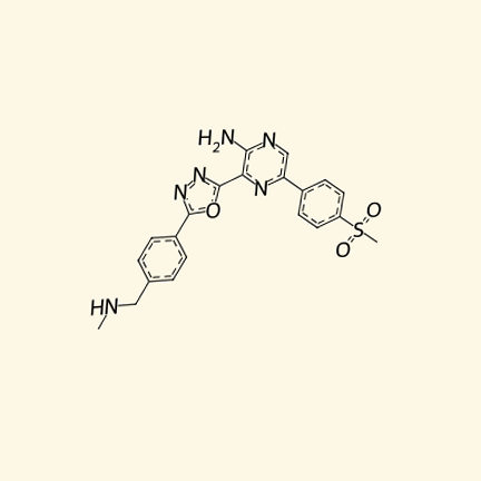 CNCc1ccc(-c2nnc(-c3nc(-c4ccc(S(C)(=O)=O)cc4)cnc3N)o2)cc1